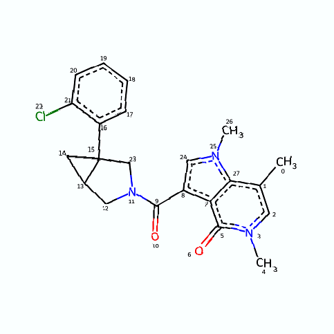 Cc1cn(C)c(=O)c2c(C(=O)N3CC4CC4(c4ccccc4Cl)C3)cn(C)c12